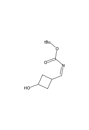 CC(C)(C)OC(=O)/N=C\C1CC(O)C1